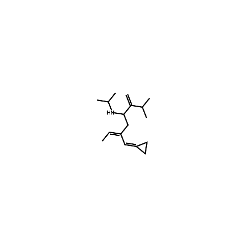 C=C(C(C)C)C(C/C(C=C1CC1)=C/C)NC(C)C